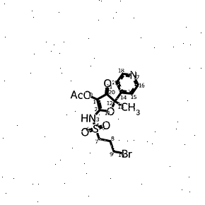 CC(=O)OC1=C(NS(=O)(=O)CCCBr)OC(C)(c2ccncc2)C1=O